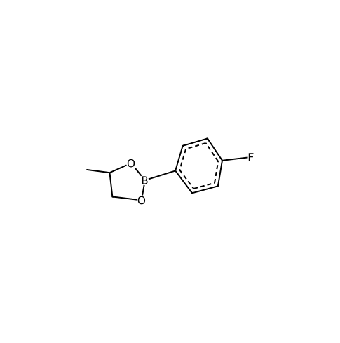 CC1COB(c2ccc(F)cc2)O1